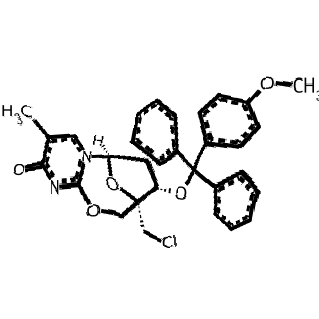 COc1ccc(C(O[C@H]2C[C@H]3O[C@]2(CCl)COc2nc(=O)c(C)cn23)(c2ccccc2)c2ccccc2)cc1